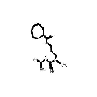 CCCCC(CCCC)NC(=N)N(C=O)CCCNC(=O)C1CCCCCC1